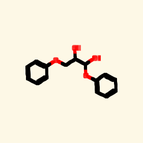 OC(COc1ccccc1)C(O)Oc1ccccc1